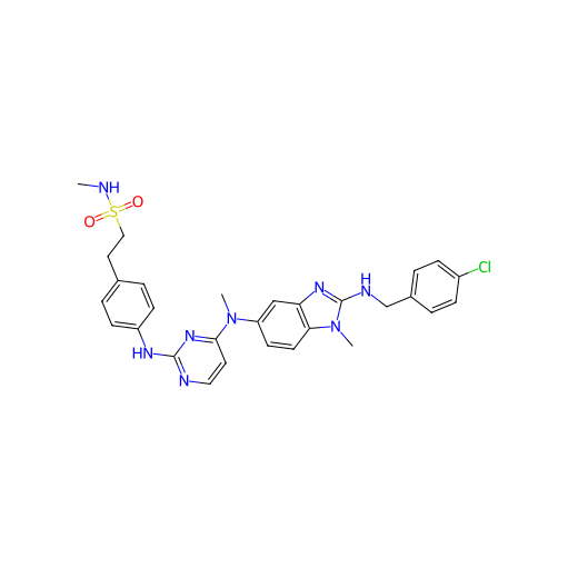 CNS(=O)(=O)CCc1ccc(Nc2nccc(N(C)c3ccc4c(c3)nc(NCc3ccc(Cl)cc3)n4C)n2)cc1